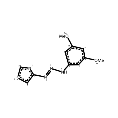 COc1cc(NN=Nc2cscn2)cc(OC)c1